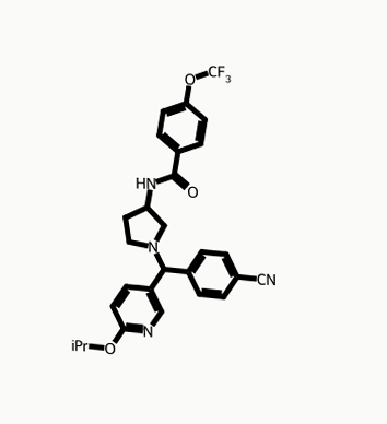 CC(C)Oc1ccc(C(c2ccc(C#N)cc2)N2CCC(NC(=O)c3ccc(OC(F)(F)F)cc3)C2)cn1